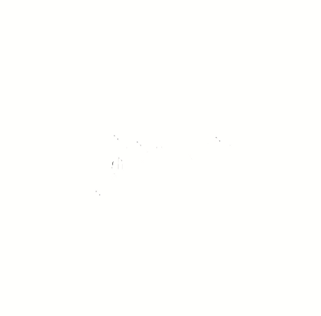 Cl.NC(=NC(=O)OCc1ccc([N+](=O)[O-])cc1)NC[C@H]1CCNC1